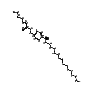 CCCCCCCCCCCCCCCCNc1ccc(CCC(=O)OCCOCC)cc1